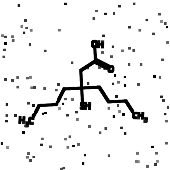 CCCCC(S)(CCCC)CC(=O)O